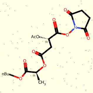 CCCCOC(=O)[C@H](C)OC(=O)C[C@H](OC(C)=O)C(=O)ON1C(=O)CCC1=O